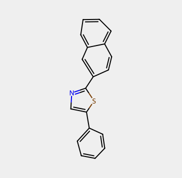 c1ccc(-c2cnc(-c3ccc4ccccc4c3)s2)cc1